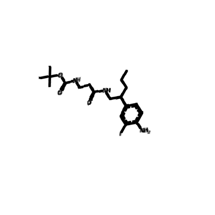 CCCC(CNC(=O)CCNC(=O)OC(C)(C)C)c1ccc(N)c(I)c1